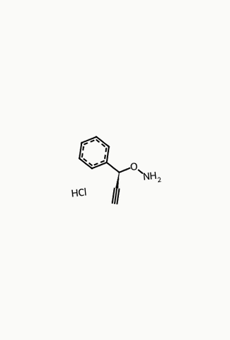 C#C[C@H](ON)c1ccccc1.Cl